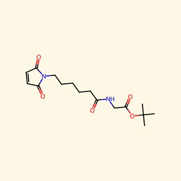 CC(C)(C)OC(=O)CNC(=O)CCCCCN1C(=O)C=CC1=O